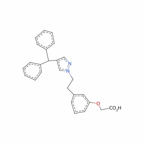 O=C(O)COc1cccc(CCn2cc(C(c3ccccc3)c3ccccc3)cn2)c1